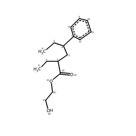 CCC(CC(CC)c1ccccc1)C(=O)OCCO